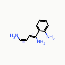 N/C=C\C=C(/N)c1ccccc1N